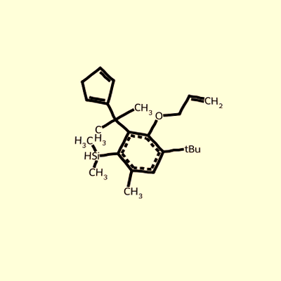 C=CCOc1c(C(C)(C)C)cc(C)c([SiH](C)C)c1C(C)(C)C1=CCC=C1